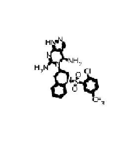 NC1=Nc2[nH]ncc2C(N)N1C1Cc2ccccc2N(S(=O)(=O)c2cc(C(F)(F)F)ccc2Cl)C1